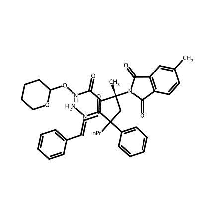 CCCC(C[C@](C)([C@H](C/C=C/c1ccccc1)C(=O)NOC1CCCCO1)N1C(=O)c2ccc(C)cc2C1=O)(C(=O)NN)c1ccccc1